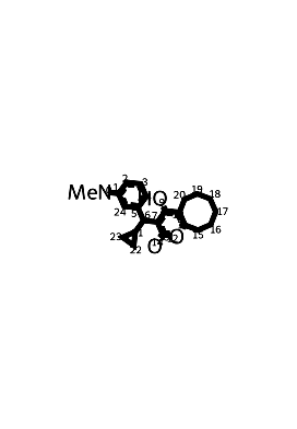 CNc1cccc(C(c2c(O)c3c(oc2=O)CCCCCC3)C2CC2)c1